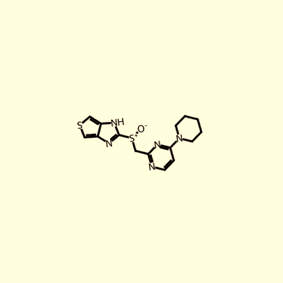 [O-][S+](Cc1nccc(N2CCCCC2)n1)c1nc2cscc2[nH]1